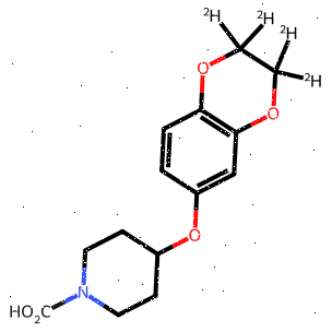 [2H]C1([2H])Oc2ccc(OC3CCN(C(=O)O)CC3)cc2OC1([2H])[2H]